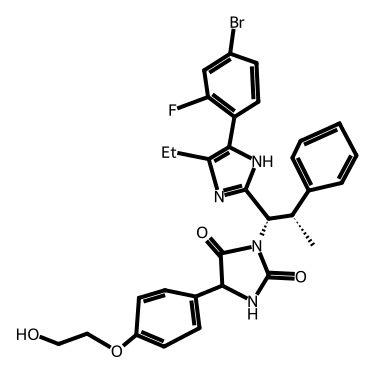 CCc1nc([C@H]([C@@H](C)c2ccccc2)N2C(=O)NC(c3ccc(OCCO)cc3)C2=O)[nH]c1-c1ccc(Br)cc1F